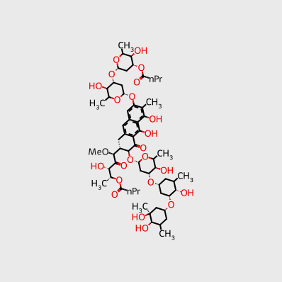 CCCC(=O)O[C@H](C)[C@H](O)C(=O)[C@@H](OC)[C@@H]1Cc2cc3cc(O[C@H]4C[C@@H](O[C@H]5C[C@@H](OC(=O)CCC)[C@H](O)C(C)O5)[C@H](O)C(C)O4)c(C)c(O)c3c(O)c2C(=O)[C@H]1O[C@H]1C[C@@H](O[C@@H]2CC(C)[C@H](O)[C@H](O[C@@H]3CC(C)[C@@H](O)[C@@](C)(O)C3)C2)[C@H](O)C(C)O1